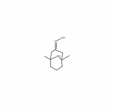 CC12CCCC(C)(CC(=NO)C1)N2